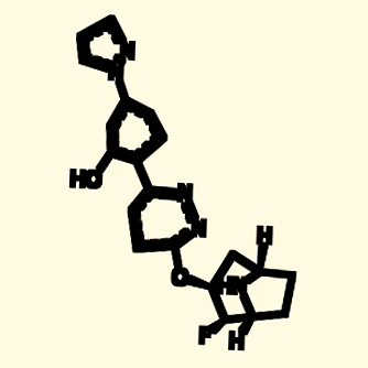 Oc1cc(-n2cccn2)ccc1-c1ccc(O[C@H]2C[C@@H]3CC[C@@H](N3)[C@H]2F)nn1